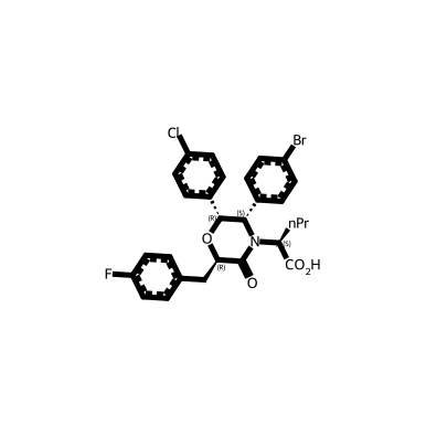 CCC[C@@H](C(=O)O)N1C(=O)[C@@H](Cc2ccc(F)cc2)O[C@H](c2ccc(Cl)cc2)[C@@H]1c1ccc(Br)cc1